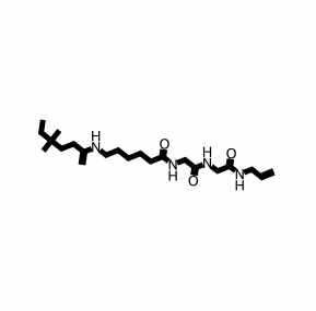 C=CCNC(=O)CNC(=O)CNC(=O)CCCCCNC(=C)CCC(C)(C)CC